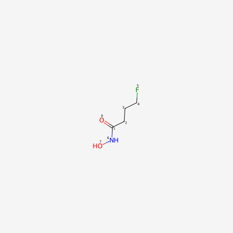 O=C(CCCF)NO